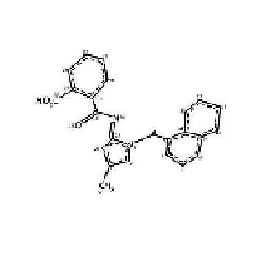 Cc1cn(Cc2cccc3ccccc23)/c(=N/C(=O)c2ccccc2C(=O)O)s1